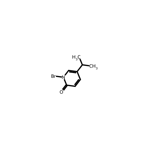 CC(C)c1ccc(=O)n(Br)c1